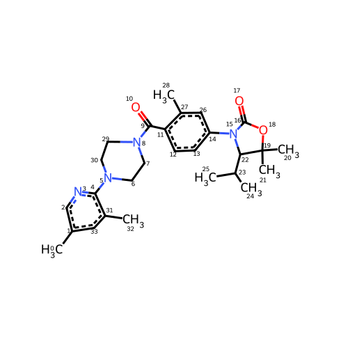 Cc1cnc(N2CCN(C(=O)c3ccc(N4C(=O)OC(C)(C)C4C(C)C)cc3C)CC2)c(C)c1